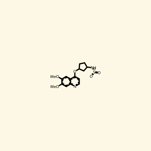 COc1cc2nccc(OC3CCC(N[SH](=O)=O)C3)c2cc1OC